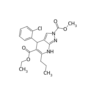 CCCC1=C(C(=O)OCC)C(c2ccccc2Cl)c2cn(C(=O)OC)nc2N1